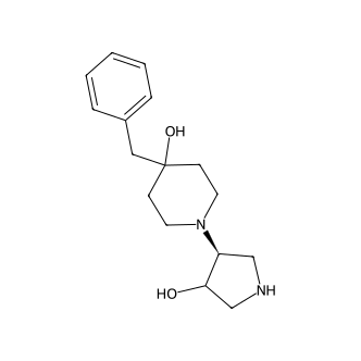 OC1CNC[C@@H]1N1CCC(O)(Cc2ccccc2)CC1